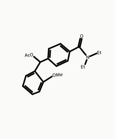 CCN(CC)C(=O)c1ccc(C(OC(C)=O)c2ccccc2OC)cc1